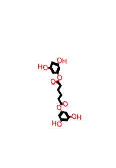 O=C(CCCCC(=O)Oc1cc(O)cc(O)c1)Oc1cc(O)cc(O)c1